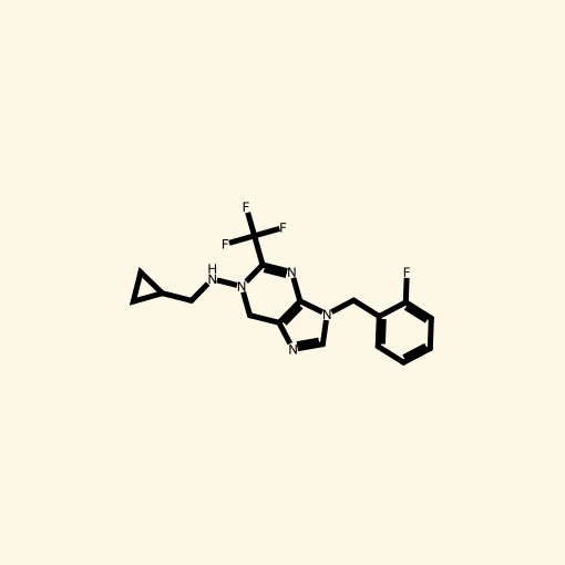 Fc1ccccc1Cn1cnc2c1N=C(C(F)(F)F)N(NCC1CC1)C2